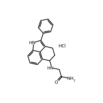 Cl.NC(=O)CNC1CCc2c(-c3ccccc3)[nH]c3cccc1c23